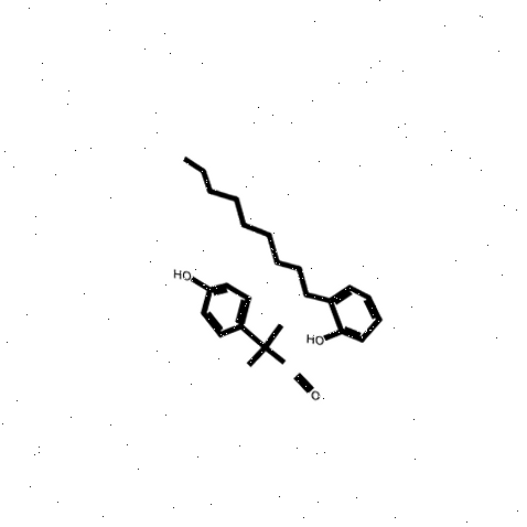 C=O.CC(C)(C)c1ccc(O)cc1.CCCCCCCCCc1ccccc1O